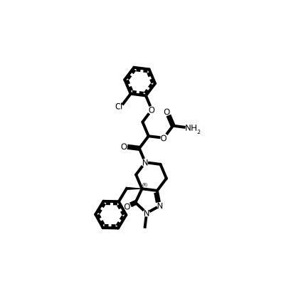 CN1N=C2CCN(C(=O)C(COc3ccccc3Cl)OC(N)=O)C[C@@]2(Cc2ccccc2)C1=O